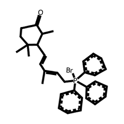 CC(C=CC1C(C)C(=O)CCC1(C)C)=CCP(Br)(c1ccccc1)(c1ccccc1)c1ccccc1